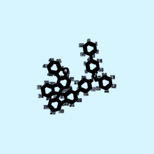 c1ccc(-c2ccc(N(c3ccccc3)c3ccc(-c4ccc5c(c4)C4(c6ccccc6-5)c5ccccc5-c5c4ccc4oc6ccccc6c54)cc3)cc2)cc1